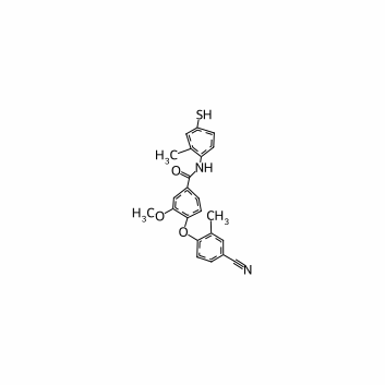 COc1cc(C(=O)Nc2ccc(S)cc2C)ccc1Oc1ccc(C#N)cc1C